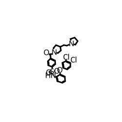 O=C(c1ccc(S(=O)(=O)Nc2ccccc2Oc2ccc(Cl)c(Cl)c2)cc1)N1CCC(CCN2CCCC2)CC1